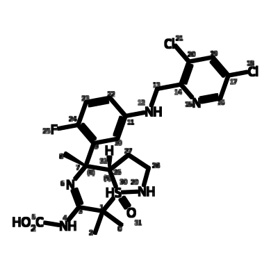 CC1(C)C(NC(=O)O)=N[C@](C)(c2cc(NCc3ncc(Cl)cc3Cl)ccc2F)[C@@H]2CCN[SH]21=O